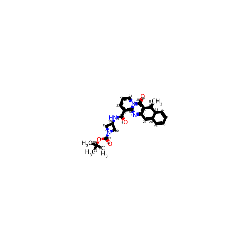 CC1c2c(nc3c(C(=O)NC4CN(C(=O)OC(C)(C)C)C4)cccn3c2=O)C=C2C=CC=CC21